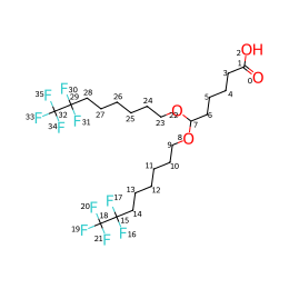 O=C(O)CCCCC(OCCCCCCC(F)(F)C(F)(F)F)OCCCCCCC(F)(F)C(F)(F)F